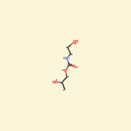 CC(O)COC(=O)NCCO